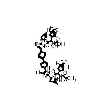 COC(=O)NC(C(=O)N1[C@@H]2CC2C[C@H]1c1nc(Cl)c(-c2ccc(-c3ccc(-c4c[nH]c([C@@H]5CC6C[C@H]6N5C(=O)C([C@H]5C[C@@H]6[C@H](C5)C6(F)F)N(C)C(=O)O)n4)cc3)cc2)[nH]1)[C@H]1C[C@@H]2[C@H](C1)C2(F)F